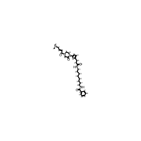 CN(C)CC=CC(=O)N1CCN(c2ccc(CCC(=O)NCCCCCCCCNC(=O)c3ccccc3)s2)C(=O)C1